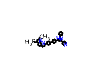 CCc1cc(CC)c2ccc3ccc(-c4ccc(-c5ccc(-c6cc(-c7ccncc7)nc(-c7ccccc7)n6)cc5)cc4)nc3c2n1